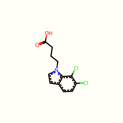 O=C(O)CCCn1ccc2ccc(Cl)c(Cl)c21